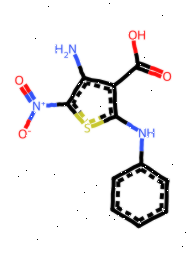 Nc1c([N+](=O)[O-])sc(Nc2ccccc2)c1C(=O)O